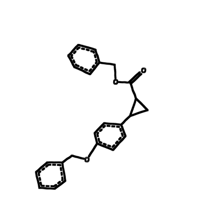 O=C(OCc1ccccc1)C1CC1c1ccc(OCc2ccccc2)cc1